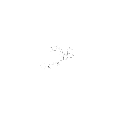 Cc1ccc(NC(=O)Nc2cc(CCC(=O)OCOC(=O)C3CCCCC3)ccc2N(CC(C)C)CC(C)C)cc1